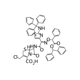 O=C(O)C1=C(CCl)CS[C@@H]2C(NC(=O)/C(=N/OC(C(=O)OC(c3ccccc3)c3ccccc3)c3ccccc3)c3csc(NC(c4ccccc4)(c4ccccc4)c4ccccc4)n3)C(=O)N12